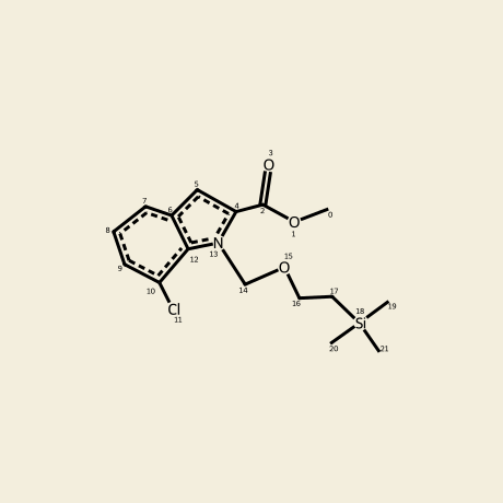 COC(=O)c1cc2cccc(Cl)c2n1COCC[Si](C)(C)C